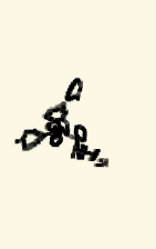 Cc1ccc(S(=O)(=O)N(CC(N)=O)Cc2cccc(Cl)c2)cc1